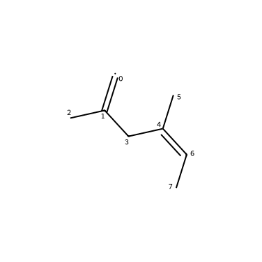 [CH]=C(C)C/C(C)=C\C